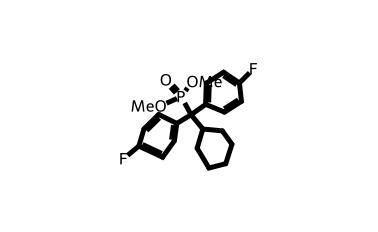 COP(=O)(OC)C(c1ccc(F)cc1)(c1ccc(F)cc1)C1CCCCC1